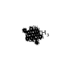 Cc1cccc(C)c1N1c2cnccc2N(c2c(C#N)c(N3c4ccncc4N(c4c(C)cccc4C)c4cc(-c5ccccc5)ccc43)c3c(c2C#N)C2(C)CCC3(C)C2)c2ccc(-c3ccccc3)cc21